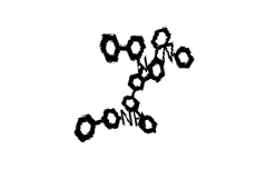 CC12C=CC=CC1c1c(ccc3c4cc(-c5ccc(Nc6ccc(-c7ccccc7)cc6)c(-c6ccccc6)c5)ccc4n(-c4cccc(-c5ccccc5)c4)c13)N2c1ccccc1